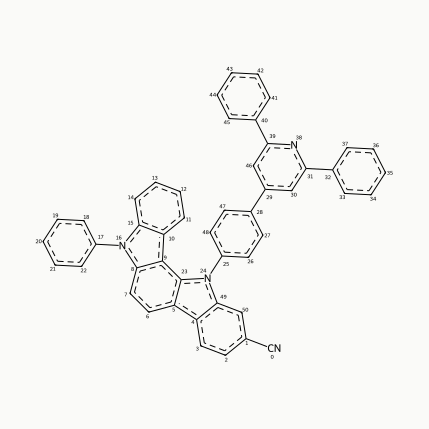 N#Cc1ccc2c3ccc4c(c5ccccc5n4-c4ccccc4)c3n(-c3ccc(-c4cc(-c5ccccc5)nc(-c5ccccc5)c4)cc3)c2c1